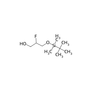 CC(C)(C)[Si](C)(C)OCC(F)CO